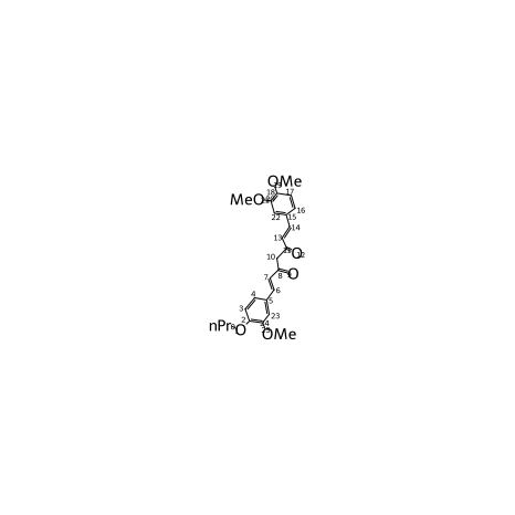 CCCOc1ccc(/C=C/C(=O)CC(=O)/C=C/c2ccc(OC)c(OC)c2)cc1OC